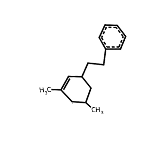 CC1=CC(CCc2ccccc2)CC(C)[CH]1